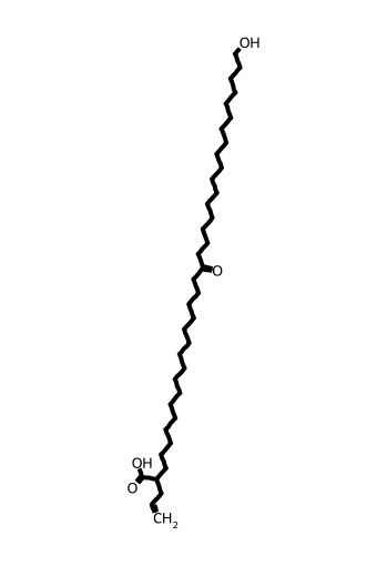 C=CCC(CCCCCCCCCCCCCCCCC(=O)CCCCCCCCCCCCCCCCCO)C(=O)O